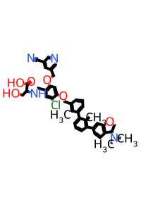 Cc1c(COc2cc(OCc3cncc(C#N)c3)c(CNC(CO)C(=O)O)cc2Cl)cccc1-c1cccc(-c2ccc3c(c2)OCC3N(C)C)c1C